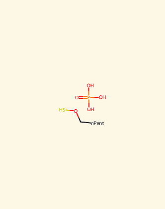 CCCCCCOS.O=P(O)(O)O